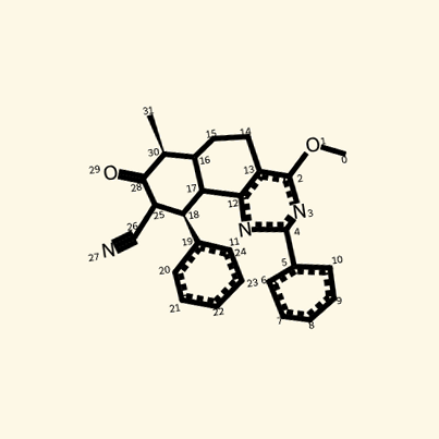 COc1nc(-c2ccccc2)nc2c1CCC1C2[C@@H](c2ccccc2)C(C#N)C(=O)[C@H]1C